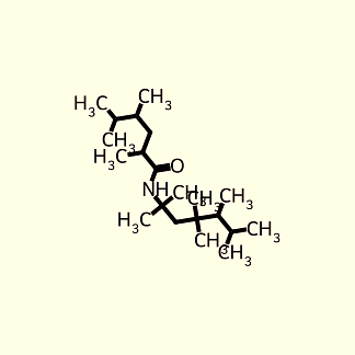 CC(CC(C)C(C)C)C(=O)NC(C)(C)CC(C)(C)C(C)C(C)C